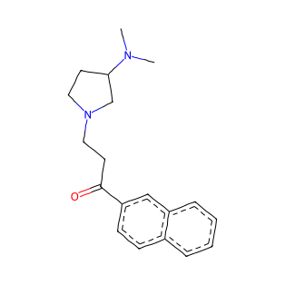 CN(C)C1CCN(CCC(=O)c2ccc3ccccc3c2)C1